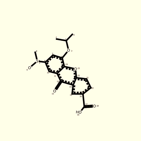 CC(C)Oc1cc([S+](C)[O-])cc2c(=O)c3cc(C(=O)O)ccc3oc12